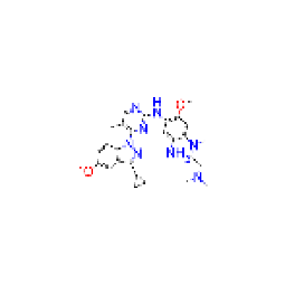 COc1ccc2c(c1)c(C1CC1)nn2-c1nc(Nc2cc(N)c(N(C)CCN(C)C)cc2OC)ncc1C